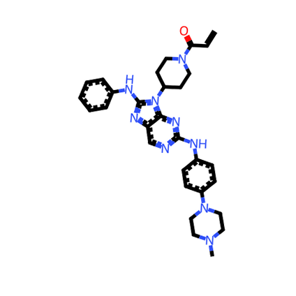 C=CC(=O)N1CCC(n2c(Nc3ccccc3)nc3cnc(Nc4ccc(N5CCN(C)CC5)cc4)nc32)CC1